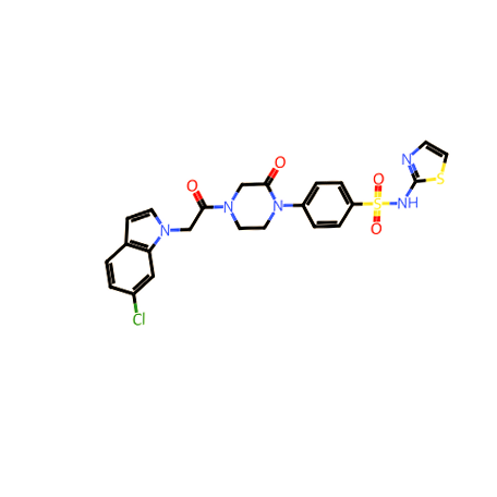 O=C(Cn1ccc2ccc(Cl)cc21)N1CCN(c2ccc(S(=O)(=O)Nc3nccs3)cc2)C(=O)C1